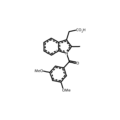 COc1cc(OC)cc(C(=O)n2c(C)c(CC(=O)O)c3ccccc32)c1